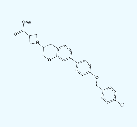 COC(=O)C1CN(C2COc3cc(-c4ccc(OCc5ccc(Cl)cc5)cc4)ccc3C2)C1